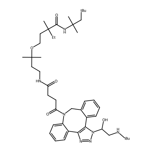 CCC(C)NCC(O)n1nnc2c1-c1ccccc1CN(C(=O)CCC(=O)NCCC(C)(C)OCCC(C)(CC)C(=O)NC(C)(C)CC(C)(C)C)c1ccccc1-2